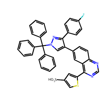 O=S(=O)(O)c1csc(-c2ncnc3ccc(-c4cn(C(c5ccccc5)(c5ccccc5)c5ccccc5)nc4-c4ccc(F)cc4)cc23)c1